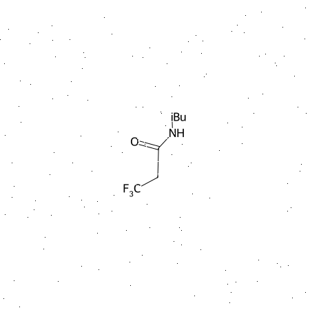 CCC(C)NC(=O)CC(F)(F)F